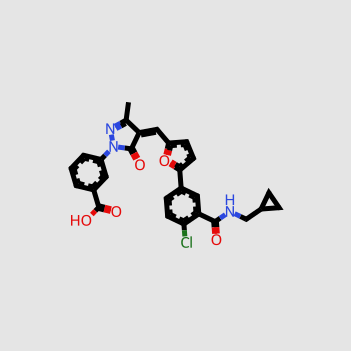 CC1=NN(c2cccc(C(=O)O)c2)C(=O)/C1=C\c1ccc(-c2ccc(Cl)c(C(=O)NCC3CC3)c2)o1